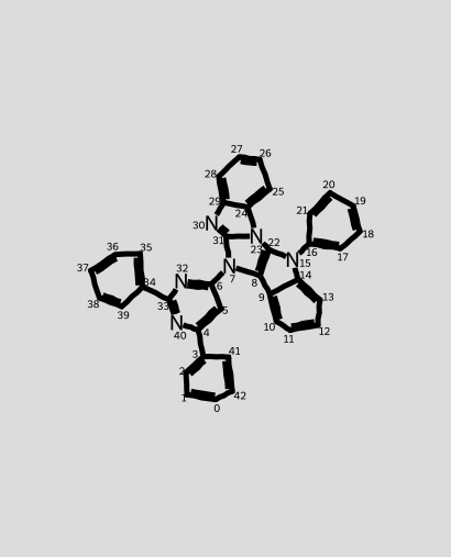 c1ccc(-c2cc(-n3c4c5ccccc5n(-c5ccccc5)c4n4c5ccccc5nc34)nc(-c3ccccc3)n2)cc1